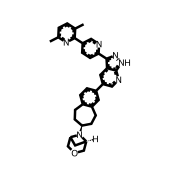 Cc1ccc(C)c(-c2ccc(-c3n[nH]c4ncc(-c5ccc6c(c5)CC[C@@H](N5C7COC[C@H]5C7)CC6)cc34)nc2)n1